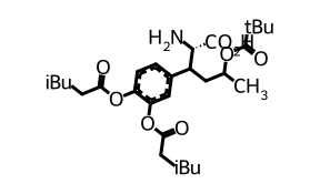 CCC(C)CC(=O)Oc1ccc(C(CC(C)OC(=O)C(C)(C)C)[C@H](N)C(=O)O)cc1OC(=O)CC(C)CC